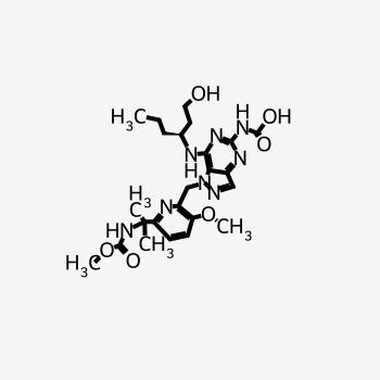 CCC[C@@H](CCO)Nc1nc(NC(=O)O)nc2cnn(Cc3nc(C(C)(C)NC(=O)OC)ccc3OC)c12